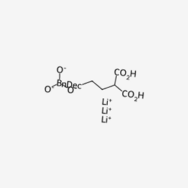 CCCCCCCCCCCCC(C(=O)O)C(=O)O.[Li+].[Li+].[Li+].[O-]B([O-])[O-]